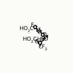 C[C@H]1CN(C2CC[C@@](C(=O)NCc3cc(OCC(=O)O)cc(C(F)(F)F)c3)(C3CC3)OC2)CCN1c1ccc(F)c(C(=O)O)c1